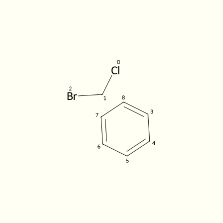 ClCBr.c1ccccc1